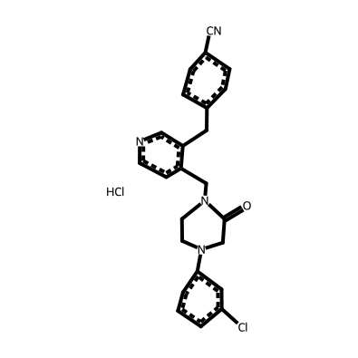 Cl.N#Cc1ccc(Cc2cnccc2CN2CCN(c3cccc(Cl)c3)CC2=O)cc1